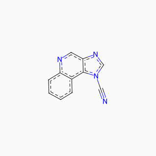 N#Cn1cnc2cnc3ccccc3c21